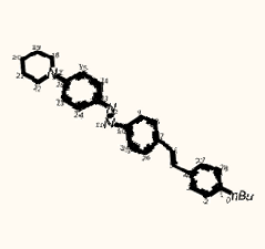 CCCCc1ccc(/C=C/c2ccc(/N=N/c3ccc(N4CCCCC4)cc3)cc2)cc1